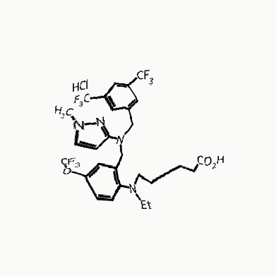 CCN(CCCCC(=O)O)c1ccc(OC(F)(F)F)cc1CN(Cc1cc(C(F)(F)F)cc(C(F)(F)F)c1)c1ccn(C)n1.Cl